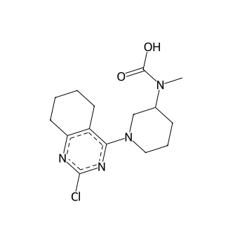 CN(C(=O)O)C1CCCN(c2nc(Cl)nc3c2CCCC3)C1